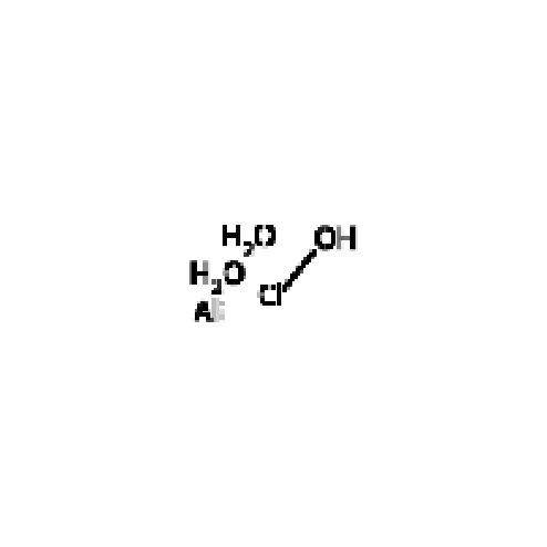 O.O.OCl.[Al]